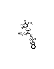 Cc1cn(CC(=O)N(CCNS(=O)(=O)c2nc3ccccc3s2)OC(=O)O)c(=O)[nH]c1=O